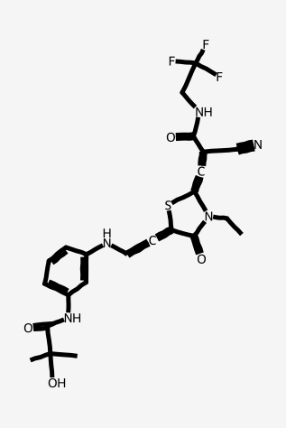 CCn1c(=C=C(C#N)C(=O)NCC(F)(F)F)sc(=C=CNc2cccc(NC(=O)C(C)(C)O)c2)c1=O